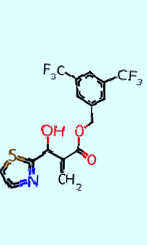 C=C(C(=O)OCc1cc(C(F)(F)F)cc(C(F)(F)F)c1)C(O)c1nccs1